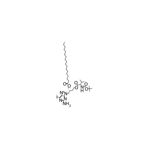 CCCCCCCCCCCCCCCCCC(=O)OC[C@H](CCOC(=O)[C@@H](NC(=O)OC(C)(C)C)C(C)C)Cn1cnc2c(I)nc(N)nc21